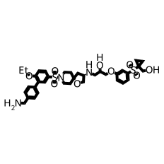 CCOc1ccc(S(=O)(=O)N2CCC3(CC2)C[C@H](NCC(O)COc2cccc(S(=O)(=O)C4(CO)CC4)c2)CO3)cc1-c1ccc(CN)cc1